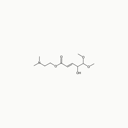 COC(OC)C(O)C=CC(=O)OCCN(C)C